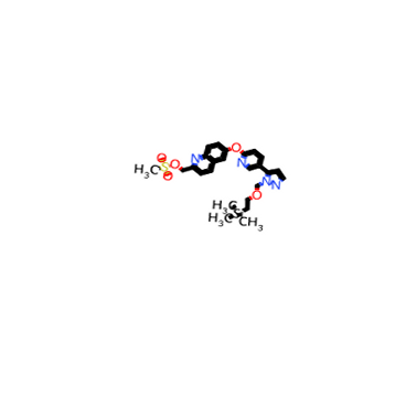 C[Si](C)(C)CCOCn1nccc1-c1ccc(Oc2ccc3nc(COS(C)(=O)=O)ccc3c2)nc1